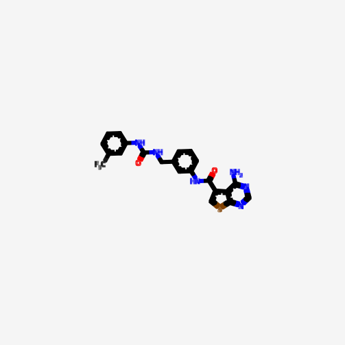 Nc1ncnc2scc(C(=O)Nc3cccc(CNC(=O)Nc4cccc(C(F)(F)F)c4)c3)c12